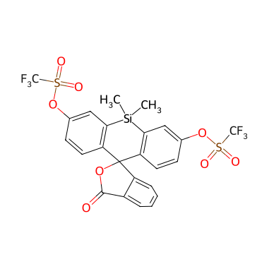 C[Si]1(C)c2cc(OS(=O)(=O)C(F)(F)F)ccc2C2(OC(=O)c3ccccc32)c2ccc(OS(=O)(=O)C(F)(F)F)cc21